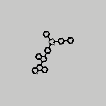 c1ccc(-c2ccc(-c3nc(-c4ccccc4)nc(-c4ccc(-c5ccc(-c6cc7cccnc7c7ccccc67)c6ccccc56)cc4)n3)cc2)cc1